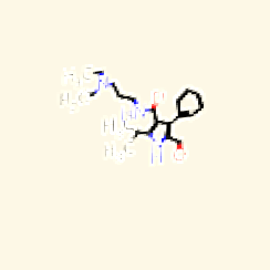 CCN(CC)CCCNC(=O)c1c(C(C)C)[nH]c(C=O)c1-c1ccccc1